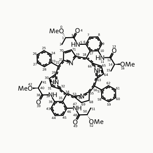 CO[C@@H](C)C(=O)Nc1cccc(NC(=O)[C@H](C)OC)c1-c1c2nc(c(-c3ccccc3)c3ccc([nH]3)c(-c3c(NC(=O)[C@H](C)OC)cccc3NC(=O)[C@H](C)OC)c3nc(c(-c4ccccc4)c4ccc1[nH]4)CC3)C=C2